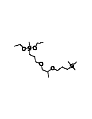 CCO[Si](C)(CCCOCC(C)OCCC[Si](C)(C)C)OCC